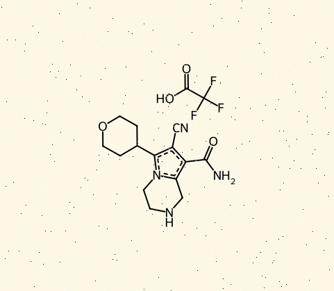 N#Cc1c(C(N)=O)c2n(c1C1CCOCC1)CCNC2.O=C(O)C(F)(F)F